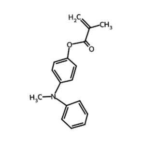 C=C(C)C(=O)Oc1ccc(N(C)c2ccccc2)cc1